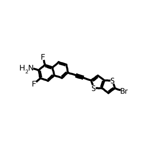 Nc1c(F)cc2cc(C#Cc3cc4sc(Br)cc4s3)ccc2c1F